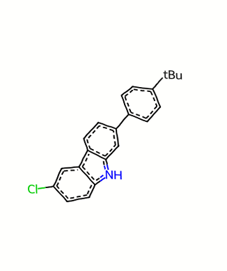 CC(C)(C)c1ccc(-c2ccc3c(c2)[nH]c2ccc(Cl)cc23)cc1